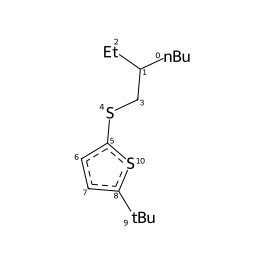 CCCCC(CC)CSc1ccc(C(C)(C)C)s1